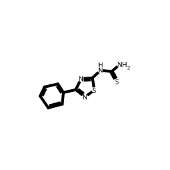 NC(=S)Nc1nc(-c2ccccc2)ns1